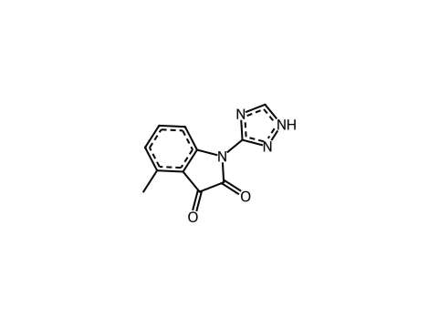 Cc1cccc2c1C(=O)C(=O)N2c1nc[nH]n1